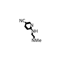 CNCCNc1ccc(C#N)cn1